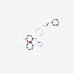 CSc1ccc(C(c2nnnn2-c2c(C)cccc2C)N2CCN(CC=Cc3ccccc3)CC2)cc1